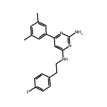 Cc1cc(C)cc(-c2cc(NCCc3ccc(F)cc3)nc(N)n2)c1